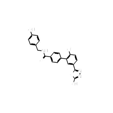 Cc1nnc(-c2ccc(C)c(-c3ccc(C(=O)NCc4ccc(O)cc4)cc3)c2)o1